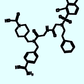 Cc1c(Cl)ccc(S(=O)(=O)N(CCc2ccccc2)CC(=O)NCC(=O)N(Cc2ccc(C(=N)N)cc2)CC2CCN(C(=O)O)CC2)c1Cl